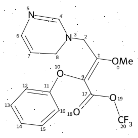 COC(CN1C=NC=CC1)=C(Oc1ccccc1)C(=O)OC(F)(F)F